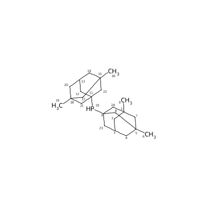 CC12CC3CC(C)(C1)CC(PC14CC5CC(C)(CC(C)(C5)C1)C4)(C3)C2